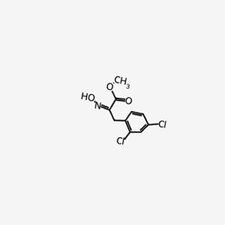 COC(=O)/C(Cc1ccc(Cl)cc1Cl)=N\O